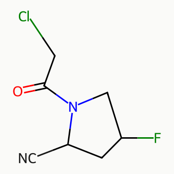 N#CC1CC(F)CN1C(=O)CCl